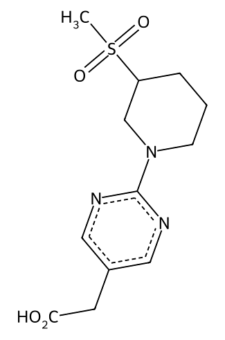 CS(=O)(=O)C1CCCN(c2ncc(CC(=O)O)cn2)C1